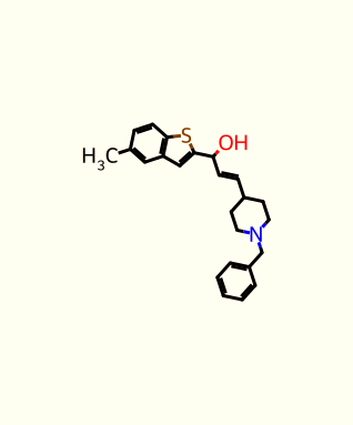 Cc1ccc2sc(C(O)C=CC3CCN(Cc4ccccc4)CC3)cc2c1